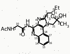 CCOCc1nc2c(NC(=O)CNC(C)=O)nc3ccccc3c2n1CC(C)(C)O